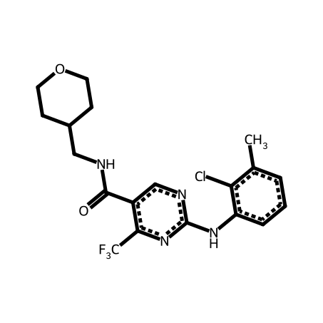 Cc1cccc(Nc2ncc(C(=O)NCC3CCOCC3)c(C(F)(F)F)n2)c1Cl